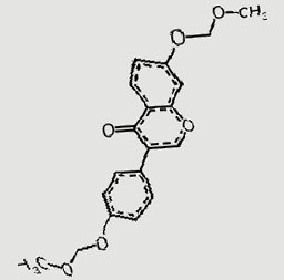 COCOc1ccc(-c2coc3cc(OCOC)ccc3c2=O)cc1